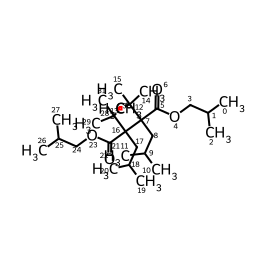 CC(C)COC(=O)C(CC(C)C)(C(C)(C)C)C(CC(C)C)(C(=O)OCC(C)C)C(C)(C)C